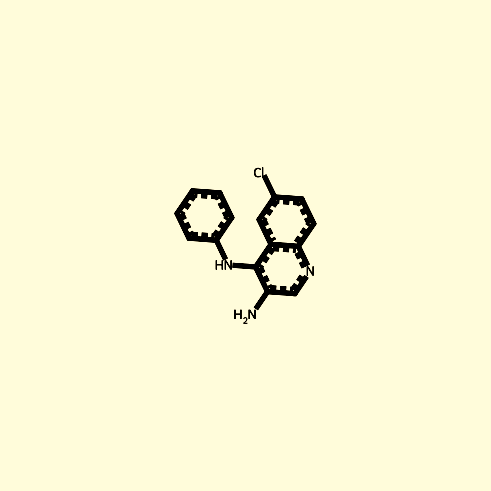 Nc1cnc2ccc(Cl)cc2c1Nc1ccccc1